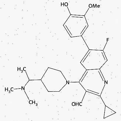 COc1cc(-c2cc3c(N4CCC(C(C)N(C)C)CC4)c(C=O)c(C4CC4)nc3cc2F)ccc1O